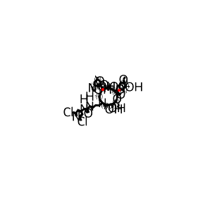 CC[C@H]1OC(=O)[C@H](C)[C@@H](O[C@H]2C[C@@](C)(OC)[C@@H](O)[C@H](C)O2)[C@H](C)[C@@H](O[C@@H]2O[C@H](C)C[C@H](N(C)C)[C@H]2O)[C@](C)(O)C[C@@H](C)CN(CCCNC(=O)Nc2cc(Cl)nc(Cl)c2)[C@H](C)[C@@H](O)[C@]1(C)O